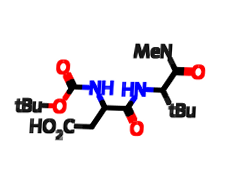 CNC(=O)C(NC(=O)C(CC(=O)O)NC(=O)OC(C)(C)C)C(C)(C)C